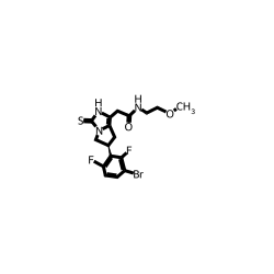 COCCNC(=O)Cc1[nH]c(=S)n2c1C[C@@H](c1c(F)ccc(Br)c1F)C2